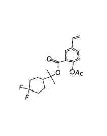 C=Cc1ccc(OC(C)=O)c(C(=O)OC(C)(C)C2CCC(F)(F)CC2)c1